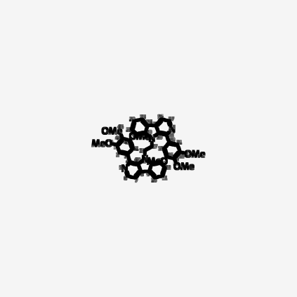 COc1cc(-c2nccc3c4ccccc4n(CCn4c5ccccc5c5ccnc(-c6cc(OC)c(OC)c(OC)c6)c54)c23)cc(OC)c1OC